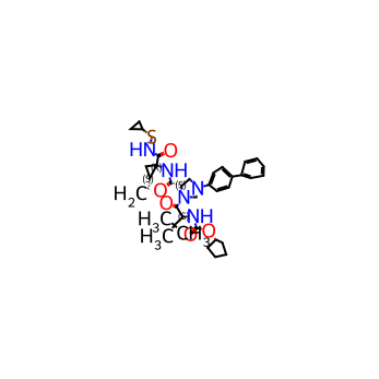 C=C[C@@H]1C[C@]1(NC(=O)[C@@H]1CN(c2ccc(-c3ccccc3)cc2)CN1C(=O)[C@@H](NC(=O)OC1CCCC1)C(C)(C)C)C(=O)NSC1CC1